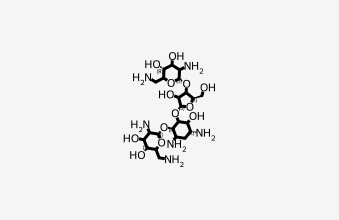 NCC1O[C@H](O[C@@H]2C(N)C[C@@H](N)C(O)C2O[C@@H]2O[C@H](CO)C(O[C@@H]3OC(CN)[C@H](O)C(O)C3N)C2O)C(N)C(O)[C@@H]1O